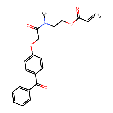 C=CC(=O)OCCN(C)C(=O)COc1ccc(C(=O)c2ccccc2)cc1